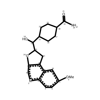 COc1ccc2ncc3c(c2c1)CC(C(O)C1CCC(C(N)=O)CC1)O3